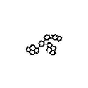 c1ccc2cc3c(cc2c1)oc1ccc(-c2ccc(-c4ccc5ccc6cccc7ccc4c5c67)cc2-c2ccc4ccc5cccc6ccc2c4c56)cc13